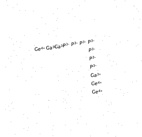 [Ga+3].[Ga+3].[Ga+3].[Ge+4].[Ge+4].[Ge+4].[P-3].[P-3].[P-3].[P-3].[P-3].[P-3].[P-3]